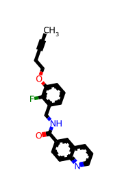 CC#CCCOc1cccc(CNC(=O)c2ccc3ncccc3c2)c1F